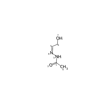 CC(=O)N/N=C\CO